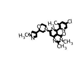 Cc1cc(Cl)cnc1-c1nc(N2CCOC(c3cnn(C)c3)C2)cc2nc(C)n(C)c(=O)c12